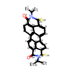 CCC(CC)N1C(=O)c2ccc3c4ccc5c6c(ccc(c7ccc(c2c37)C1=S)c64)C(=S)N(C(CC)CC)C5=O